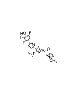 Cc1nc(CNC(=O)c2ccn(C)n2)sc1-c1csc(-c2cc(F)c(O)c(F)c2F)n1